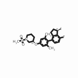 Cc1cc(O[C@@H]2CCCN(S(C)(=O)=O)C2)cc(C)c1-c1ccc(F)c2c1CC[C@H]2I